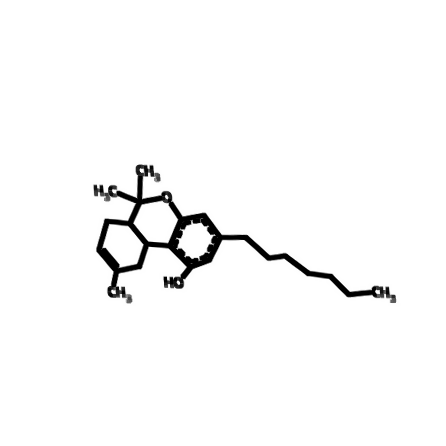 CCCCCCCc1cc(O)c2c(c1)OC(C)(C)C1CC=C(C)CC21